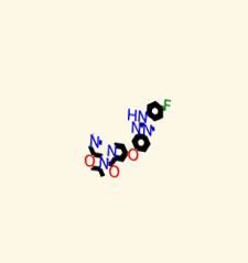 CC1COC(CN(C)C)CN1C(=O)c1cc(Oc2ccc3c(c2)nc(Nc2ccc(F)cc2)n3C)ccn1